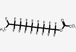 CC(F)C(F)(F)C(F)(F)C(F)(F)C(F)(F)C(F)(F)C(F)(F)C(F)(F)C(F)(F)OC(=O)C(Cl)(Cl)Cl